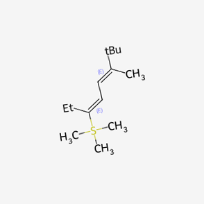 CC/C(=C\C=C(/C)C(C)(C)C)S(C)(C)C